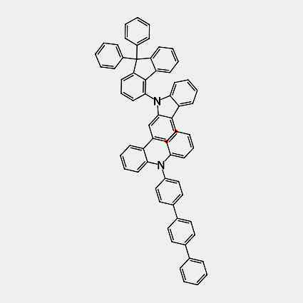 c1ccc(-c2ccc(-c3ccc(N(c4ccccc4)c4ccccc4-c4ccc5c6ccccc6n(-c6cccc7c6-c6ccccc6C7(c6ccccc6)c6ccccc6)c5c4)cc3)cc2)cc1